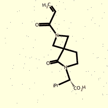 C=CC(=O)N1CC2(CCN([C@H](C(=O)O)C(C)C)C2=O)C1